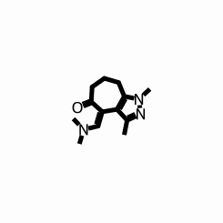 Cc1nn(C)c2c1C(=CN(C)C)C(=O)CCC2